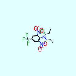 CCCN(c1c([N+](=O)[O-])cc(C(F)(F)F)cc1[N+](=O)[O-])C(Cl)CC